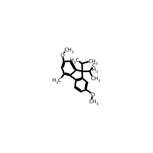 COc1ccc2c(c1)C(C(C)C)(C(C)C)c1cc(OC)cc(C)c1-2